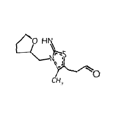 Cc1c(CC=O)sc(=N)n1CC1CCCO1